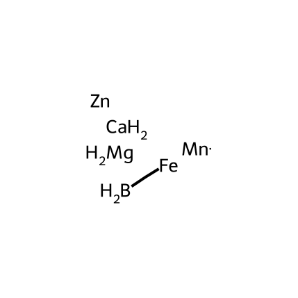 [BH2][Fe].[CaH2].[MgH2].[Mn].[Zn]